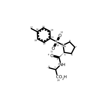 [CH2]C(NC(=O)[C@H]1CCCN1S(=O)(=O)c1ccc(C)cc1)C(=O)O